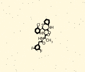 C[C@H](NC(=O)Cc1cc(F)cc(F)c1)C(=O)N[C@@H]1C(=O)Nc2ccccc2S[C@@H]1c1ccccc1Cl